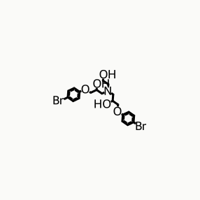 OCCN(CC(O)COc1ccc(Br)cc1)CC(O)COc1ccc(Br)cc1